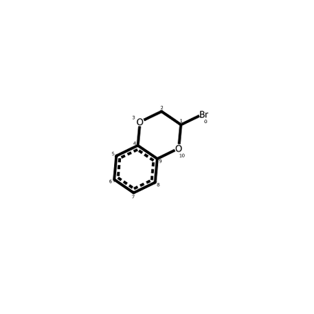 BrC1COc2c[c]ccc2O1